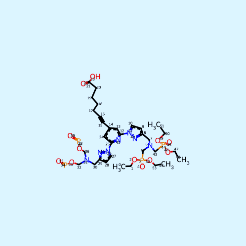 CCOP(=O)(CN(Cc1ccn(-c2cc(C#CCCCCC(=O)O)cc(-n3ccc(CN(COP=O)COP=O)n3)n2)n1)CP(=O)(OCC)OCC)OCC